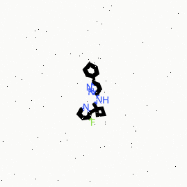 Fc1cccnc1C1(CNc2ccc(-c3cc[c]cc3)nn2)CCC1